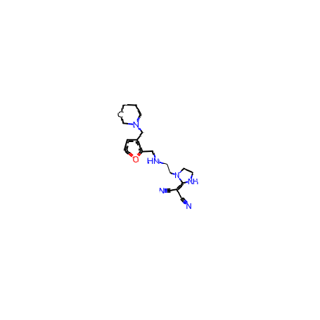 N#CC(C#N)=C1NCCN1CCNCc1occc1CN1CCCCC1